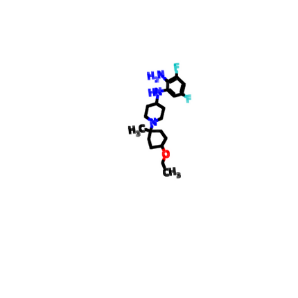 CCOC1CCC(C)(N2CCC(Nc3cc(F)cc(F)c3N)CC2)CC1